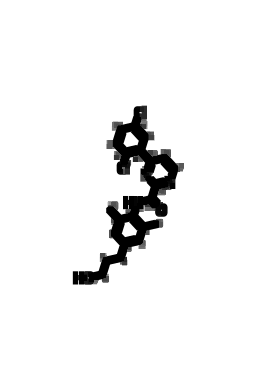 Cc1cc(CCCO)cc(C)c1NC(=O)c1nccc(-c2cc(Cl)ccc2Cl)n1